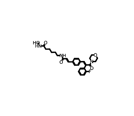 O=C(C=Cc1ccc(/C=C(/C(=O)N2CCOCC2)c2ccccc2F)cc1)NCCCCCC(=O)NO